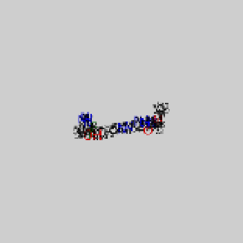 C=C1CC=C(c2ccc(N3CCN(c4ccc(-n5cnn([C@@H](CC)[C@H](C)OCc6ccccc6)c5=O)nc4)CC3)cc2)C=CC1C(F)(F)C1(O)Cn2nnnc2-c2ccccc21